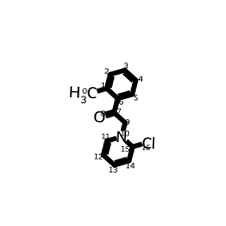 Cc1ccccc1C(=O)CN1C=CC=CC1Cl